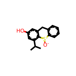 CC(C)c1cc(O)cc2c1[S+]([O-])c1ccccc1C2